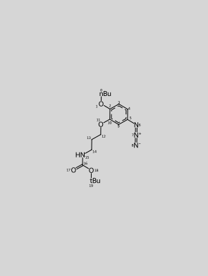 CCCCOc1ccc(N=[N+]=[N-])cc1OCCCNC(=O)OC(C)(C)C